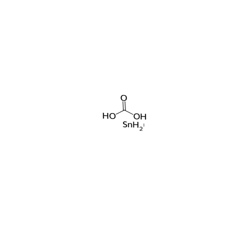 O=C(O)O.[SnH2]